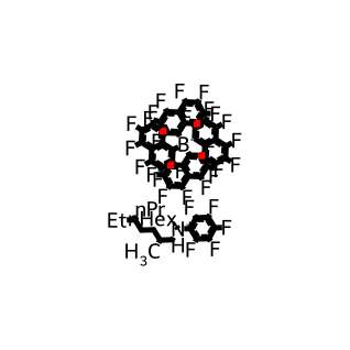 CCCCCC[NH+](CC(C)CCC(CC)CCC)c1c(F)c(F)c(F)c(F)c1F.Fc1cc2c([B-](c3c(F)c(F)c(F)c4c(F)c(F)c(F)cc34)(c3c(F)c(F)c(F)c4c(F)c(F)c(F)cc34)c3c(F)c(F)c(F)c4c(F)c(F)c(F)cc34)c(F)c(F)c(F)c2c(F)c1F